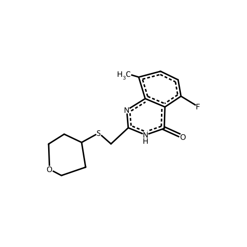 Cc1ccc(F)c2c(=O)[nH]c(CSC3CCOCC3)nc12